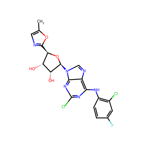 Cc1cnc([C@H]2O[C@@H](n3cnc4c(Nc5ccc(F)cc5Cl)nc(Cl)nc43)[C@H](O)[C@@H]2O)o1